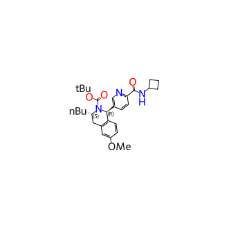 CCCC[C@H]1Cc2cc(OC)ccc2[C@H](c2ccc(C(=O)NC3CCC3)nc2)N1C(=O)OC(C)(C)C